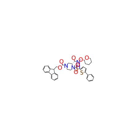 O=C(NOC1CCCCO1)[C@H]1CN(C(=O)OCC2c3ccccc3-c3ccccc32)CCN1S(=O)(=O)c1ccc(-c2ccccc2)s1